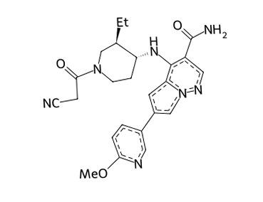 CC[C@@H]1CN(C(=O)CC#N)CC[C@H]1Nc1c(C(N)=O)cnn2cc(-c3ccc(OC)nc3)cc12